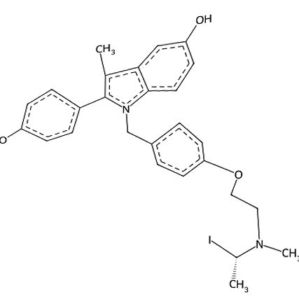 Cc1c(-c2ccc(O)cc2)n(Cc2ccc(OCCN(C)[C@H](C)I)cc2)c2ccc(O)cc12